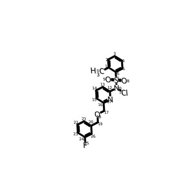 Cc1ccccc1S(=O)(=O)N(Cl)c1cccc(COCc2cccc(F)c2)n1